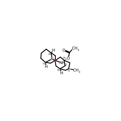 CC(=O)O[C@]12CC(N3[C@@H]4CCC[C@H]3CC(N)C4)C[C@@H](C[C@H](C)C1)C2